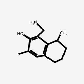 CC1CCCc2cc(I)c(O)c(CN)c21